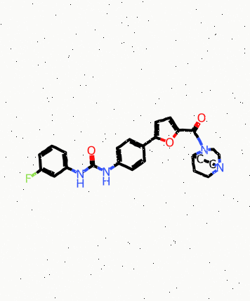 O=C(Nc1ccc(-c2ccc(C(=O)N3CCN4CCC3CC4)o2)cc1)Nc1cccc(F)c1